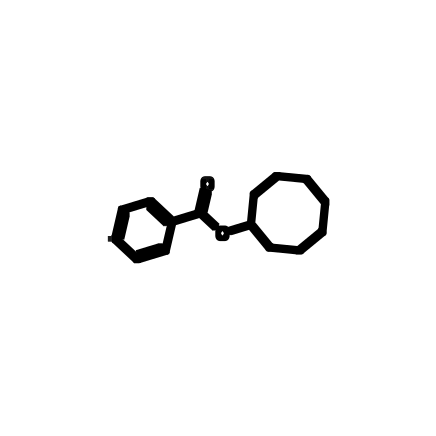 O=C(OC1CCCCCCC1)c1cc[c]cc1